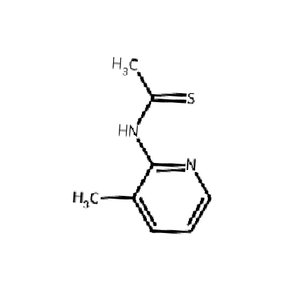 CC(=S)Nc1ncccc1C